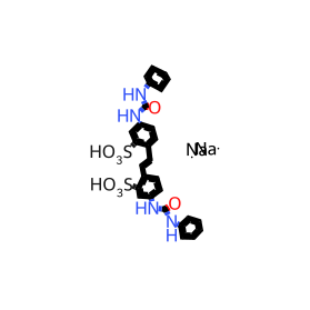 O=C(Nc1ccccc1)Nc1ccc(C=Cc2ccc(NC(=O)Nc3ccccc3)cc2S(=O)(=O)O)c(S(=O)(=O)O)c1.[Na].[Na]